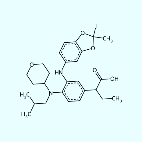 CCC(C(=O)O)c1ccc(N(CC(C)C)C2CCOCC2)c(Nc2ccc3c(c2)OC(C)(I)O3)c1